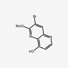 COc1nc2c(O)ccnc2cc1Br